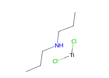 CCCNCCC.[Cl][Ti][Cl]